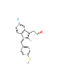 CSc1ccc(C=C2C(C)=C(CC=O)c3cc(F)ccc32)cc1